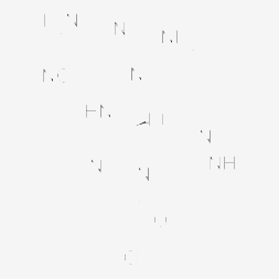 CC[C@H](Nc1nc(N)nc(N)c1C#N)c1nc2cccc(Cl)c2c(=O)n1-c1cn[nH]c1